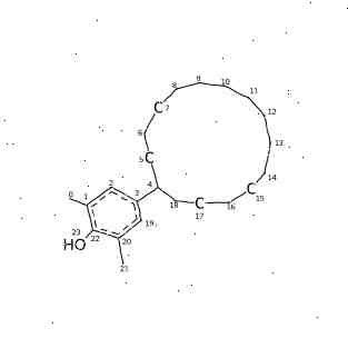 Cc1cc(C2CCCCCCCCCCCCCC2)cc(C)c1O